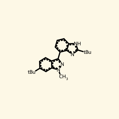 Cn1nc(-c2cccc3[nH]c(C(C)(C)C)nc23)c2ccc(C(C)(C)C)cc21